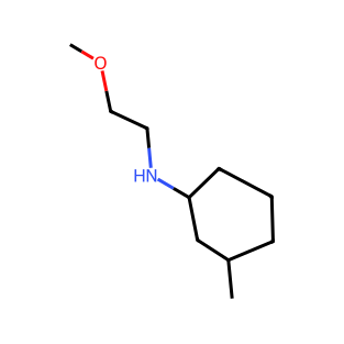 COCCNC1CCCC(C)C1